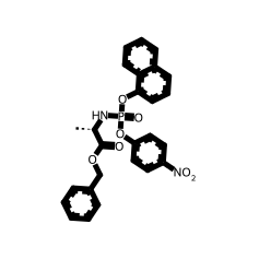 C[C@H](NP(=O)(Oc1ccc([N+](=O)[O-])cc1)Oc1cccc2ccccc12)C(=O)OCc1ccccc1